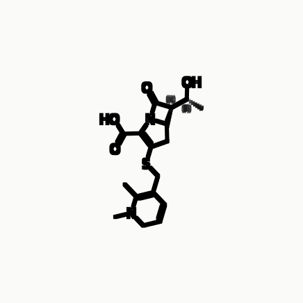 CC1=C(CSC2=C(C(=O)O)N3C(=O)[C@@H]([C@@H](C)O)C3C2)C=CCN1C